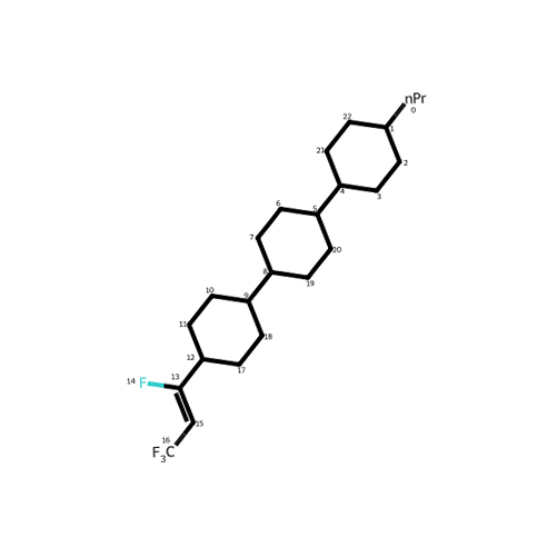 CCCC1CCC(C2CCC(C3CCC(/C(F)=C/C(F)(F)F)CC3)CC2)CC1